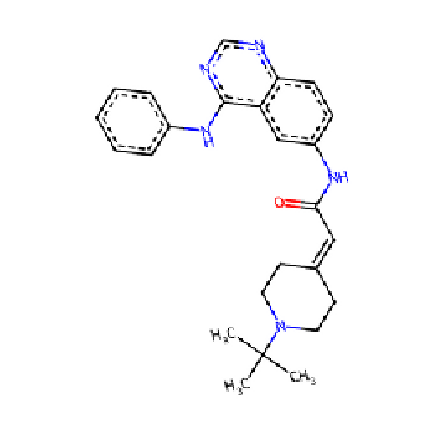 CC(C)(C)N1CCC(=CC(=O)Nc2ccc3ncnc(Nc4ccccc4)c3c2)CC1